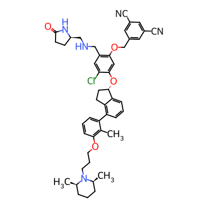 Cc1c(OCCCN2[C@H](C)CCC[C@@H]2C)cccc1-c1cccc2c1CC[C@@H]2Oc1cc(OCc2cc(C#N)cc(C#N)c2)c(CNC[C@H]2CCC(=O)N2)cc1Cl